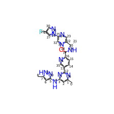 Cc1cc(Nc2cc(C)[nH]n2)nc(-c2ccc(C(=O)N[C@@H](C)c3cnc(-n4cc(F)cn4)cn3)nc2)n1